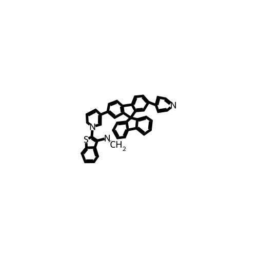 C=Nc1c(N2C=C(c3ccc4c(c3)C3(c5ccccc5-c5ccccc53)c3cc(-c5ccncc5)ccc3-4)C=CC2)sc2ccccc12